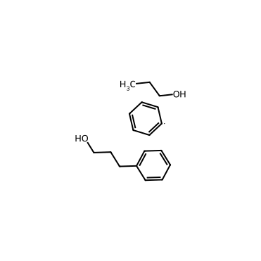 CCCO.OCCCc1ccccc1.[c]1ccccc1